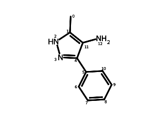 Cc1[nH]nc(-c2ccccc2)c1N